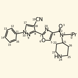 CC(C)N(C(=O)c1coc(-c2nn(-c3ccccc3)cc2C#N)n1)C1CCNCC1